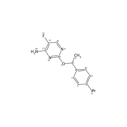 CC(C)c1ccc(C(C)Oc2ncc(F)c(N)n2)cc1